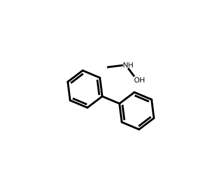 CNO.c1ccc(-c2ccccc2)cc1